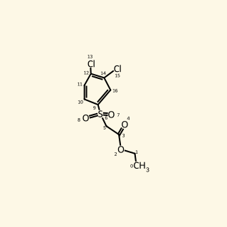 CCOC(=O)CS(=O)(=O)c1ccc(Cl)c(Cl)c1